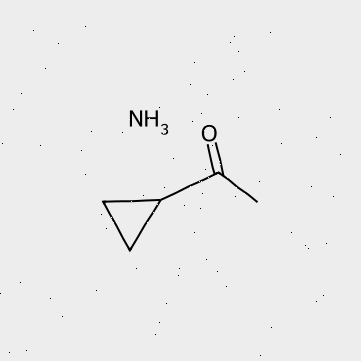 CC(=O)C1CC1.N